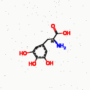 N[C@@H](Cc1cc(O)c(O)c(O)c1)C(=O)O